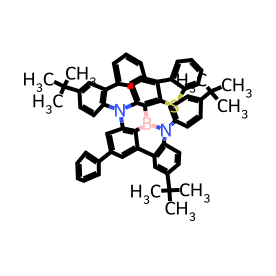 CC(C)(C)c1ccc(N2B3c4c(cc(-c5ccccc5)cc4N(c4ccc(C(C)(C)C)cc4-c4ccccc4)c4ccc5c(sc6ccccc65)c43)-c3cc(C(C)(C)C)ccc32)cc1